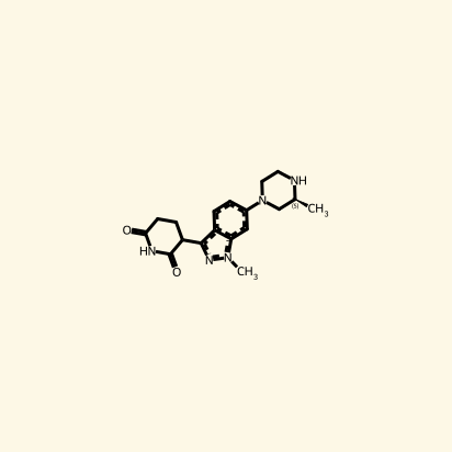 C[C@H]1CN(c2ccc3c(C4CCC(=O)NC4=O)nn(C)c3c2)CCN1